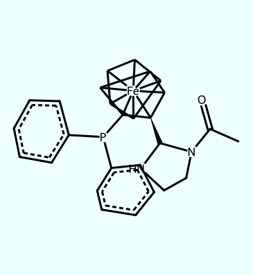 CC(=O)N1CCNC1[C@@]12[CH]3[CH]4[CH]5[C]1(P(c1ccccc1)c1ccccc1)[Fe]45321678[CH]2[CH]1[CH]6[CH]7[CH]28